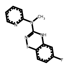 CN(C1=NSc2ccc(F)cc2N1)c1ccccn1